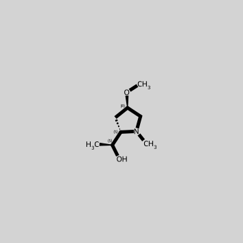 CO[C@@H]1C[C@@H]([C@H](C)O)N(C)C1